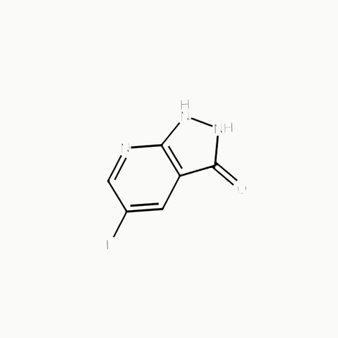 O=c1[nH][nH]c2ncc(F)cc12